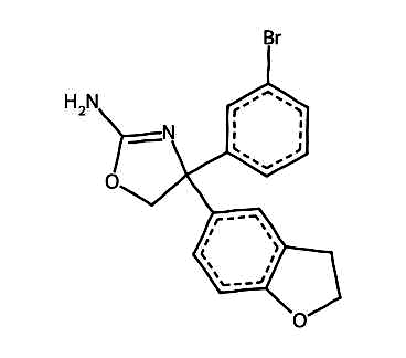 NC1=NC(c2cccc(Br)c2)(c2ccc3c(c2)CCO3)CO1